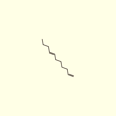 C=CCCCCC=CCCC